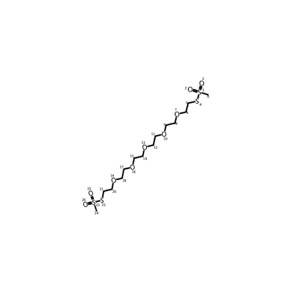 CS(=O)(=O)SCCOCCOCCOCCOCCOCCSS(C)(=O)=O